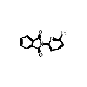 CCc1cccc(N2C(=O)c3ccccc3C2=O)n1